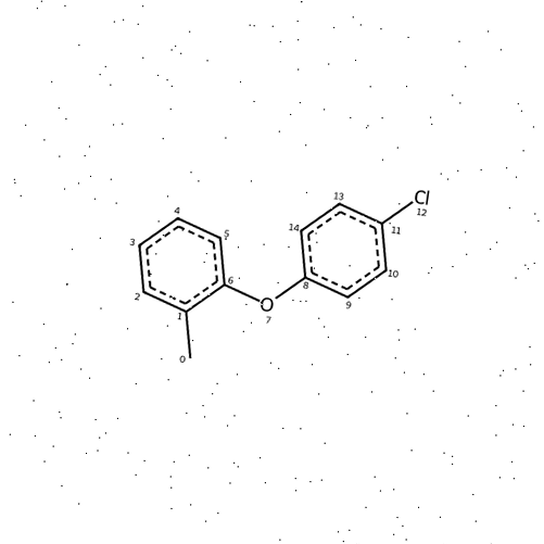 Cc1ccc[c]c1Oc1ccc(Cl)cc1